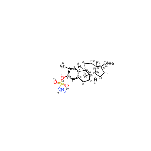 CCc1cc2c(cc1OS(N)(=O)=O)CC[C@@H]1[C@@H]2CC[C@]2(CC)[C@@H](OC)CC[C@@H]12